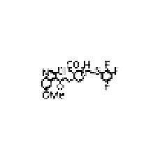 COc1ccc2ncc(Cl)c(C(=O)CC[C@@H]3CCN(CCSc4cc(F)cc(F)c4F)C[C@@H]3CC(=O)O)c2c1